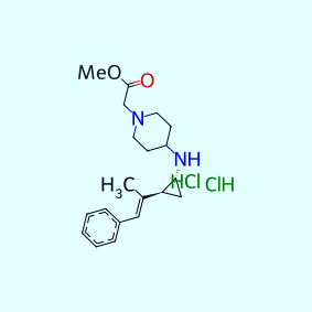 COC(=O)CN1CCC(N[C@@H]2C[C@H]2/C(C)=C/c2ccccc2)CC1.Cl.Cl